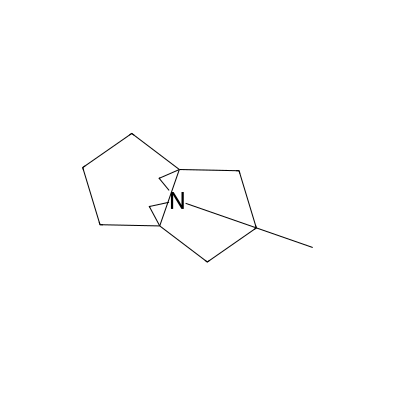 CN1CC23CCCC2(CCC3)C1